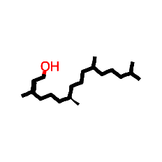 CC(=CCO)CCC[C@H](C)CCCC(C)CCCC(C)C